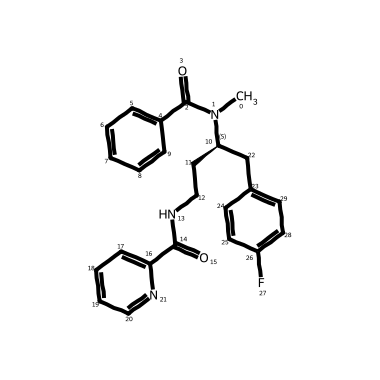 CN(C(=O)c1ccccc1)[C@H](CCNC(=O)c1ccccn1)Cc1ccc(F)cc1